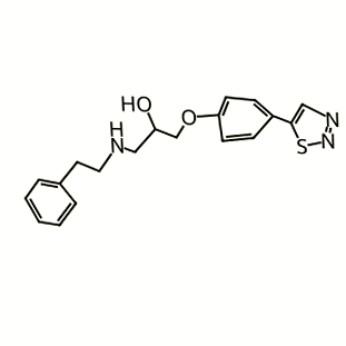 OC(CNCCc1ccccc1)COc1ccc(-c2cnns2)cc1